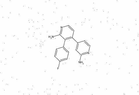 Nc1cc(-c2ccnc(N)c2-c2ccc(F)cc2)ccn1